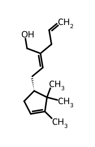 C=CCC(=CC[C@H]1CC=C(C)C1(C)C)CO